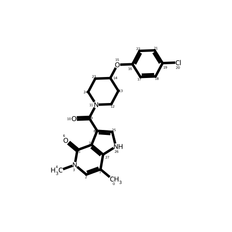 Cc1cn(C)c(=O)c2c(C(=O)N3CCC(Oc4ccc(Cl)cc4)CC3)c[nH]c12